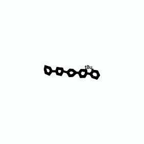 CC(C)(C)c1ccccc1-c1ccc(-c2ccc(-c3ccc(-c4ccccc4)cc3)cc2)cc1